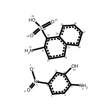 Nc1ccc([N+](=O)[O-])cc1O.Nc1ccc2ccccc2c1S(=O)(=O)O